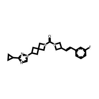 O=C(N1CC(/C=C/c2cccc(F)c2)C1)N1CC2(CC(n3cnc(C4CC4)n3)C2)C1